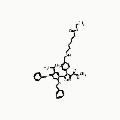 CCOC(=O)CCCCCCNCc1ccc(-c2c(C(=O)NC)noc2-c2cc(C(C)C)c(OCc3ccccc3)cc2OCc2ccccc2)cc1